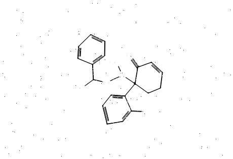 CC(ON(C(=O)O)C1(c2ccccc2Cl)CCC=CC1=O)c1ccccc1